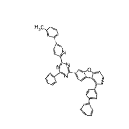 Cc1cccc(-c2ccc(-c3nc(-c4ccccc4)nc(-c4ccc5c(c4)oc4cccc(-c6ccc(-c7ccccc7)cc6)c45)n3)nc2)c1